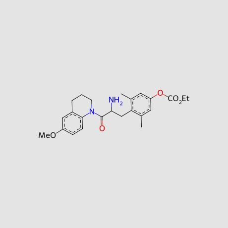 CCOC(=O)Oc1cc(C)c(CC(N)C(=O)N2CCCc3cc(OC)ccc32)c(C)c1